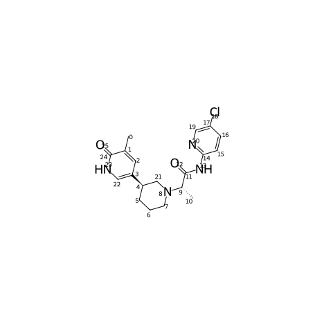 Cc1cc([C@@H]2CCCN([C@@H](C)C(=O)Nc3ccc(Cl)cn3)C2)c[nH]c1=O